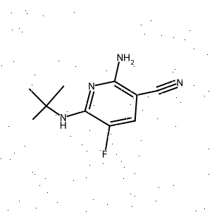 CC(C)(C)Nc1nc(N)c(C#N)cc1F